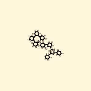 c1ccc(-c2nc(-c3ccccc3)nc(-c3cccc4c3oc3ccc(-n5c6ccccc6c6ccccc6c6ccccc6c6ccccc65)cc34)n2)cc1